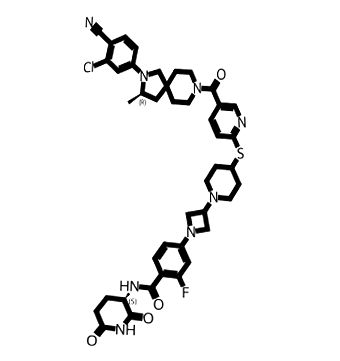 C[C@@H]1CC2(CCN(C(=O)c3ccc(SC4CCN(C5CN(c6ccc(C(=O)N[C@H]7CCC(=O)NC7=O)c(F)c6)C5)CC4)nc3)CC2)CN1c1ccc(C#N)c(Cl)c1